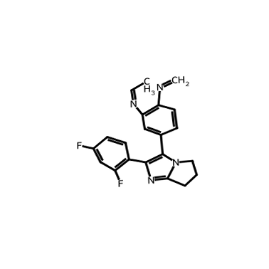 C=Nc1ccc(-c2c(-c3ccc(F)cc3F)nc3n2CCC3)cc1/N=C\C